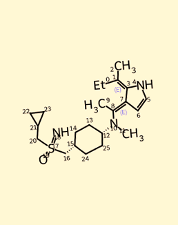 CC/C(C)=c1/[nH]cc/c1=C(/C)N(C)[C@H]1CC[C@@H](CS(=N)(=O)CC2CC2)CC1